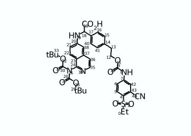 CCS(=O)(=O)c1ccc(NC(=O)OCCc2ccc(C(Nc3ccc4c(N(C(=O)OC(C)(C)C)C(=O)OC(C)(C)C)nccc4c3)C(=O)O)cc2)cc1C#N